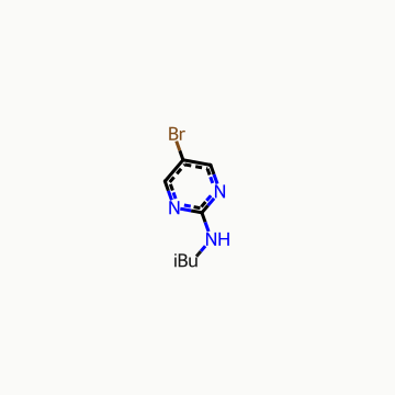 CCC(C)Nc1ncc(Br)cn1